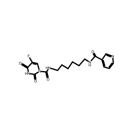 O=C(NCCCCCCNC(=O)n1cc(F)c(=O)[nH]c1=O)c1cccnc1